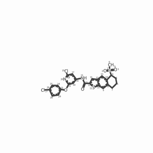 CS(=O)(=O)C1CCCc2cc3sc(C(=O)Nc4cc(Cl)nc(Oc5ccc(Cl)cc5)c4)cc3cc21